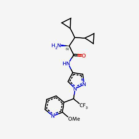 COc1ncccc1C(n1cc(NC(=O)[C@@H](N)C(C2CC2)C2CC2)cn1)C(F)(F)F